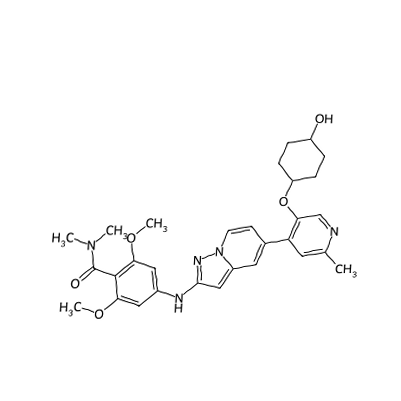 COc1cc(Nc2cc3cc(-c4cc(C)ncc4OC4CCC(O)CC4)ccn3n2)cc(OC)c1C(=O)N(C)C